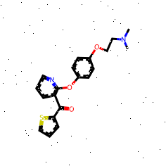 CN(C)CCOc1ccc(Oc2ncccc2C(=O)c2cccs2)cc1